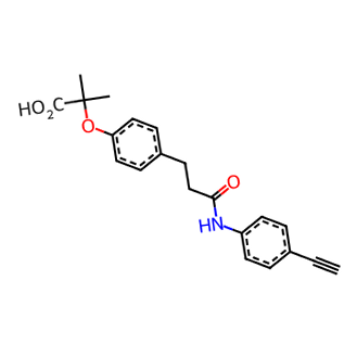 C#Cc1ccc(NC(=O)CCc2ccc(OC(C)(C)C(=O)O)cc2)cc1